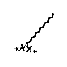 CCCCCCCCCCCCCN(C(C)(C)O)C(C)(C)O